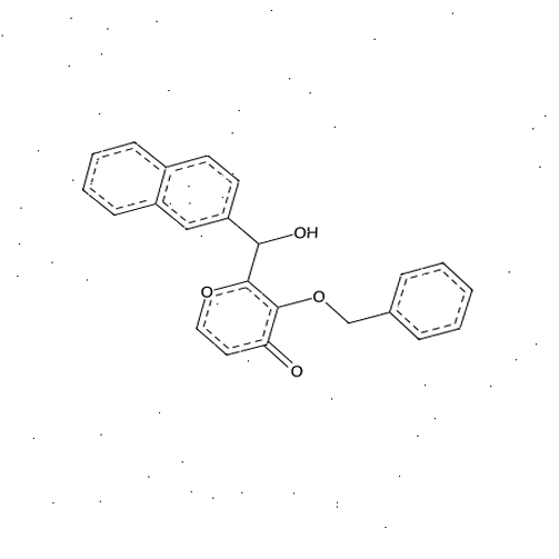 O=c1ccoc(C(O)c2ccc3ccccc3c2)c1OCc1ccccc1